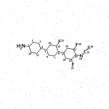 NC1CCC(C2CCC(C3CC(F)C(N=C=S)C(F)C3)C(F)C2)CC1